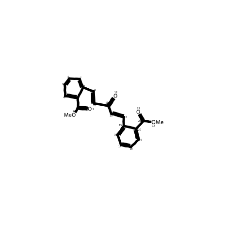 COC(=O)c1ccccc1/C=C/C(=O)/C=C/c1ccccc1C(=O)OC